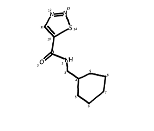 O=C(NCC1CCCCC1)c1cnns1